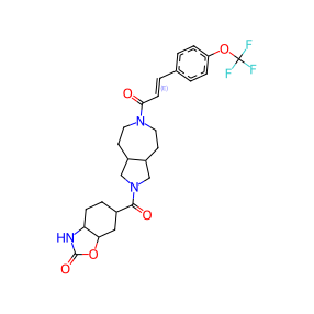 O=C1NC2CCC(C(=O)N3CC4CCN(C(=O)/C=C/c5ccc(OC(F)(F)F)cc5)CCC4C3)CC2O1